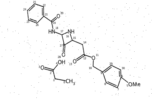 CCC(=O)O.COc1ccc(COC(=O)CC2NC(NC(=O)c3ccccc3)C2=O)cc1